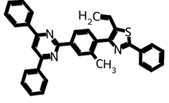 C=Cc1sc(-c2ccccc2)nc1-c1ccc(-c2nc(-c3ccccc3)cc(-c3ccccc3)n2)cc1C